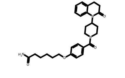 NC(=O)CCCCCOc1ccc(C(=O)N2CCC(N3C(=O)CCc4ccccc43)CC2)cc1